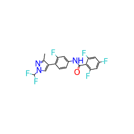 Cc1nn(C(F)F)cc1-c1ccc(NC(=O)c2c(F)cc(F)cc2F)cc1F